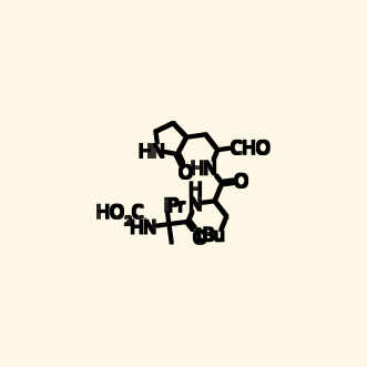 CC(C)C(C)(NC(=O)O)C(=O)NC(CC(C)(C)C)C(=O)NC(C=O)CC1CCNC1=O